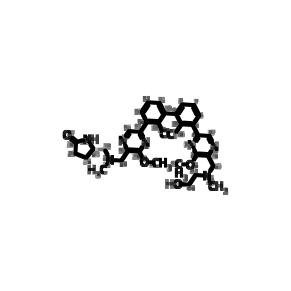 COc1nc(-c2cccc(-c3cccc(-c4cnc(CN(C)C[C@@H]5CCC(=O)N5)c(OC)n4)c3Cl)c2Cl)cnc1CN(C)CCO